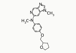 CN(c1ccc(OCC2CCCO2)cc1)c1cc2c(cn1)ncn2C